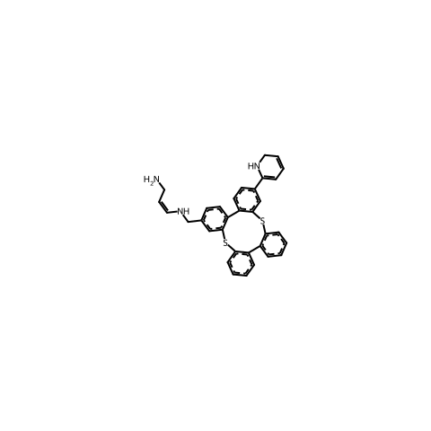 NC/C=C\NCc1ccc2c(c1)Sc1ccccc1-c1ccccc1Sc1cc(C3=CC=CCN3)ccc1-2